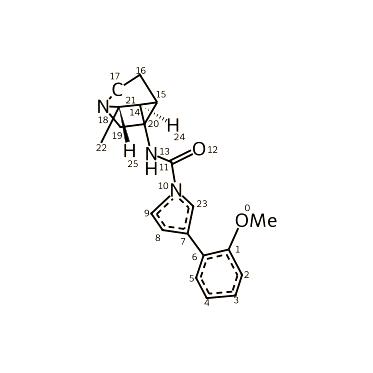 COc1ccccc1-c1ccn(C(=O)N[C@@H]2C3CCN(CC3)[C@H]2C)c1